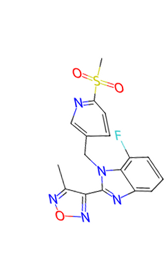 Cc1nonc1-c1nc2cccc(F)c2n1Cc1ccc(S(C)(=O)=O)nc1